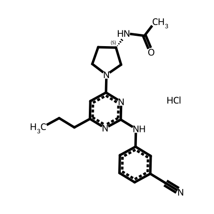 CCCc1cc(N2CC[C@H](NC(C)=O)C2)nc(Nc2cccc(C#N)c2)n1.Cl